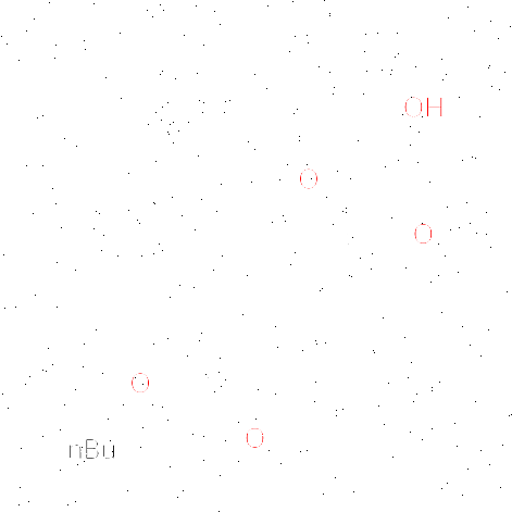 CCCCOC(=O)C=CC(=O)OC(C)O